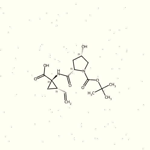 C=C[C@@H]1C[C@]1(NC(=O)[C@@H]1C[C@H](O)CN1C(=O)OC(C)(C)C)C(=O)O